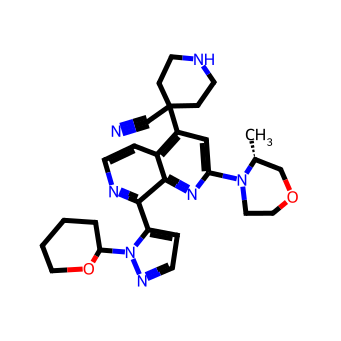 C[C@@H]1COCCN1c1cc(C2(C#N)CCNCC2)c2ccnc(-c3ccnn3C3CCCCO3)c2n1